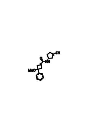 COC1(c2ccccc2)CN(C(=O)N[C@@H]2CCN(C#N)C2)C1